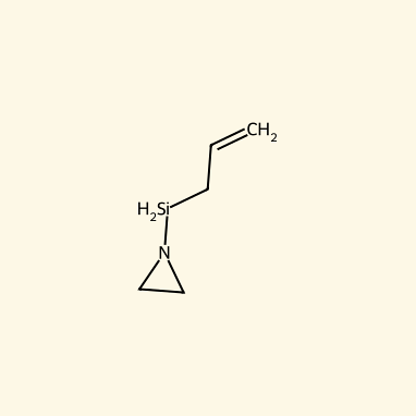 C=CC[SiH2]N1CC1